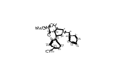 CON(C)C(=O)[C@H]1CCN(Cc2ccccc2)C[C@H]1c1ccc(Cl)cc1